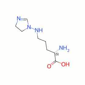 N[C@@H](CCCNN1C=NCC1)C(=O)O